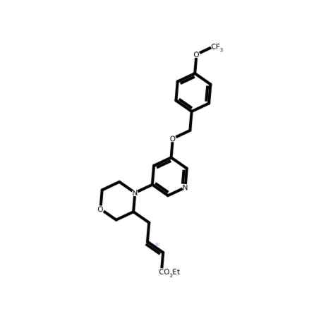 CCOC(=O)/C=C/CC1COCCN1c1cncc(OCc2ccc(OC(F)(F)F)cc2)c1